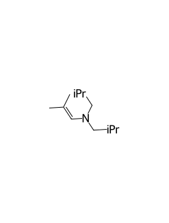 CC(C)=CN(CC(C)C)CC(C)C